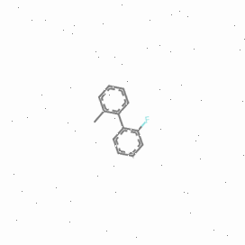 Cc1ccccc1-c1cc[c]cc1F